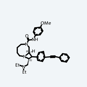 CCN(CC)C[C@@H]1C(c2ccc(C#Cc3ccccc3)cc2)[C@@H]2CN(C(=O)Nc3ccc(OC)cc3)CCCCN12